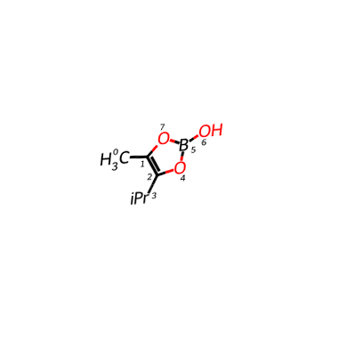 CC1=C(C(C)C)OB(O)O1